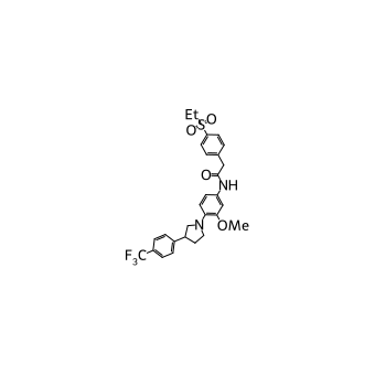 CCS(=O)(=O)c1ccc(CC(=O)Nc2ccc(N3CCC(c4ccc(C(F)(F)F)cc4)C3)c(OC)c2)cc1